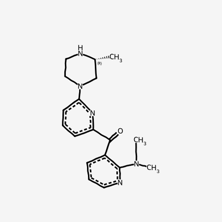 C[C@@H]1CN(c2cccc(C(=O)c3cccnc3N(C)C)n2)CCN1